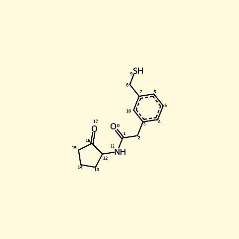 O=C(Cc1cccc(CS)c1)NC1CCCC1=O